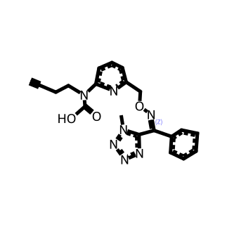 C#CCCN(C(=O)O)c1cccc(CO/N=C(/c2ccccc2)c2nnnn2C)n1